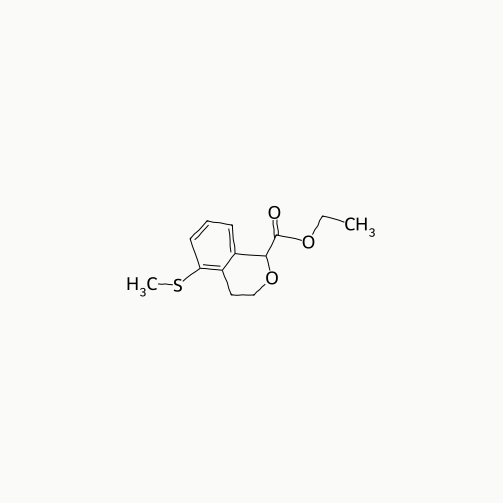 CCOC(=O)C1OCCc2c(SC)cccc21